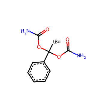 CC(C)(C)C(OC(N)=O)(OC(N)=O)c1ccccc1